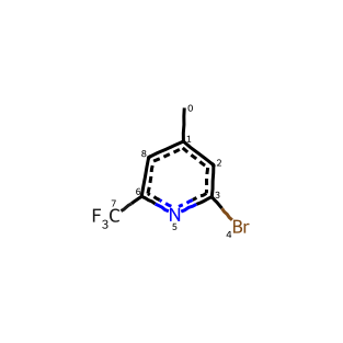 Cc1cc(Br)nc(C(F)(F)F)c1